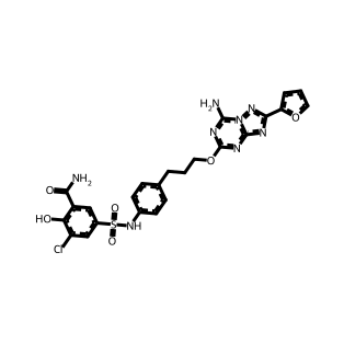 NC(=O)c1cc(S(=O)(=O)Nc2ccc(CCCOc3nc(N)n4nc(-c5ccco5)nc4n3)cc2)cc(Cl)c1O